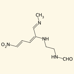 C/N=C/C(=C\C=C\[N+](=O)[O-])NCCNC=O